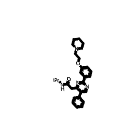 CC(C)NC(=O)Cc1nc(-c2cccc(OCCN3CCCCC3)c2)ncc1-c1ccccc1